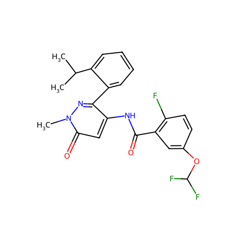 CC(C)c1ccccc1-c1nn(C)c(=O)cc1NC(=O)c1cc(OC(F)F)ccc1F